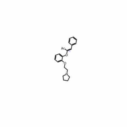 CC(=O)/C(=C\c1ccccc1)Oc1ccccc1OCCN1CCCC1